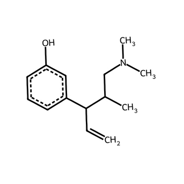 C=CC(c1cccc(O)c1)C(C)CN(C)C